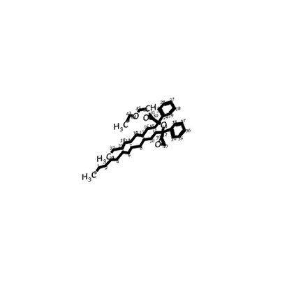 CCCCCCCCCCCCC(OC(CCCCCCCCC)(c1ccccc1)C1CO1)(c1ccccc1)C1CO1.CCOCC